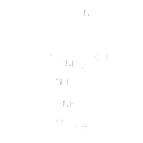 CCC(=O)Nc1cccc2cc(C(=O)Nc3ccc(C#N)cc3C(=O)O)[nH]c12